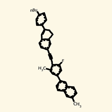 CCCCc1ccc(C2=Cc3ccc(C#Cc4c(C)cc(-c5ccc6cc(C)ccc6c5)cc4F)cc3CC2)cc1